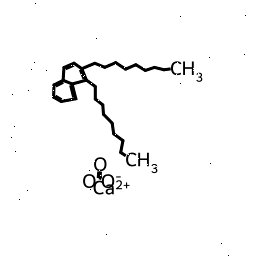 CCCCCCCCCc1ccc2ccccc2c1CCCCCCCCC.O=C([O-])[O-].[Ca+2]